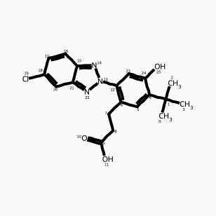 CC(C)(C)c1cc(CCC(=O)O)c(-n2nc3ccc(Cl)cc3n2)cc1O